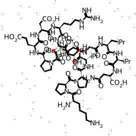 CC[C@H](C)[C@H](NC(=O)[C@H](CO)NC(=O)[C@@H](NC(=O)[C@@H]1CCCN1C(=O)[C@@H]1CCCN1C(=O)[C@@H](N)CCCCN)C(C)C)C(=O)N1CCC[C@H]1C(=O)N[C@@H](CCC(=O)O)C(=O)N[C@@H](CC(=O)O)C(=O)N[C@@H](CCCNC(=N)N)C(=O)N[C@@H](CC(C)C)C(=O)N[C@@H](C)C(=O)NCC(=O)N[C@@H](CC(C)C)C(=O)N[C@H](C(=O)N[C@@H](CC(N)=O)C(=O)O)C(C)C